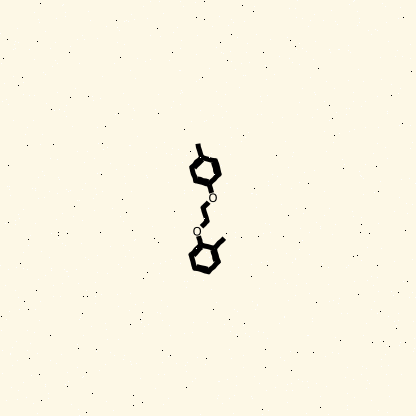 Cc1ccc(OCCOc2ccccc2C)cc1